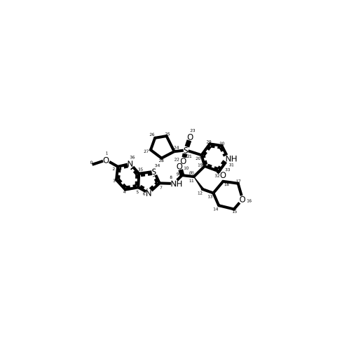 COc1ccc2nc(NC(=O)[C@H](CC3CCOCC3)c3c(S(=O)(=O)C4CCCC4)cc[nH]c3=O)sc2n1